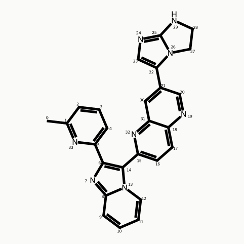 Cc1cccc(-c2nc3ccccn3c2-c2ccc3ncc(-c4cnc5n4CCN5)cc3n2)n1